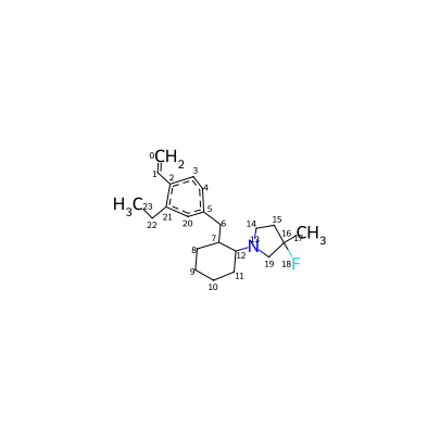 C=Cc1ccc(CC2CCCCC2N2CCC(C)(F)C2)cc1CC